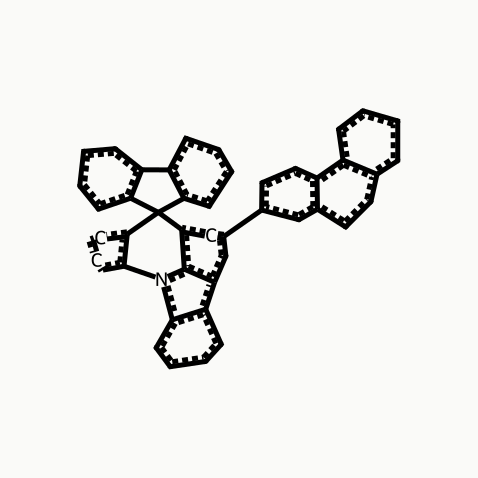 c1ccc2c(c1)-c1ccccc1C21c2ccccc2-n2c3ccccc3c3cc(-c4ccc5c(ccc6ccccc65)c4)cc1c32